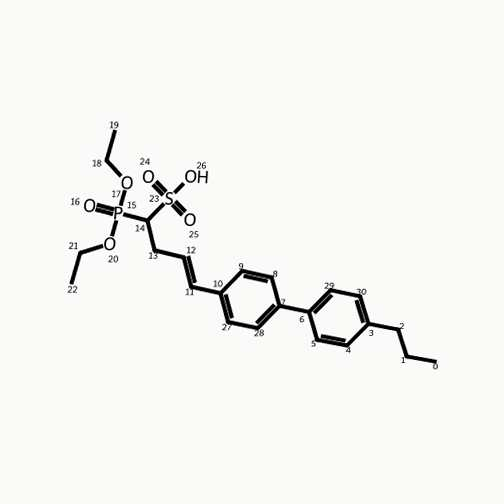 CCCc1ccc(-c2ccc(C=CCC(P(=O)(OCC)OCC)S(=O)(=O)O)cc2)cc1